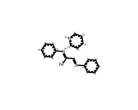 [Fe][C](C=Nc1ccccc1)=Nc1ccccc1.c1ccncc1